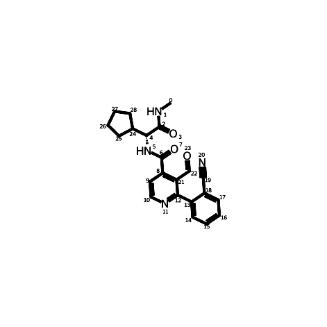 CNC(=O)[C@H](NC(=O)c1ccnc(-c2ccccc2C#N)c1C=O)C1CCCC1